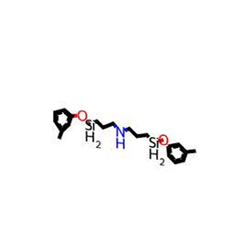 Cc1cccc(O[SiH2]CCCNCCC[SiH2]Oc2cccc(C)c2)c1